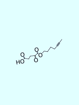 CC#CCCCCOC(=O)C(=O)CCC(=O)O